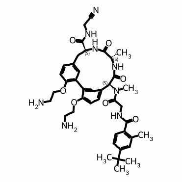 Cc1cc(C(C)(C)C)ccc1C(=O)NCC(=O)N(C)[C@@H]1C(=O)N[C@@H](C)C(=O)N[C@H](C(=O)NCC#N)Cc2ccc(OCCN)c(c2)-c2cc1ccc2OCCN